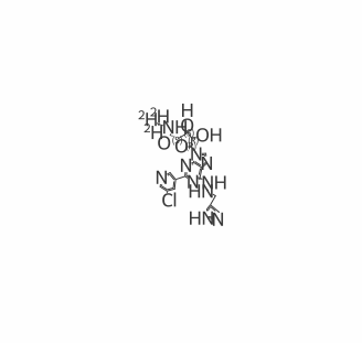 [2H]C([2H])([2H])NC(=O)[C@H]1O[C@@H](n2cnc3c(NNCc4cn[nH]c4)nc(-c4cncc(Cl)c4)nc32)[C@H](O)[C@@H]1O